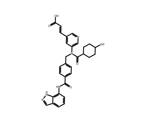 O=C(O)/C=C/c1cncc(N(Cc2ccc(C(=O)Nc3cccc4cn[nH]c34)cc2)C(=O)C2CCC(O)CC2)c1